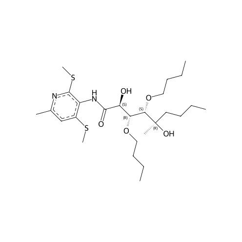 CCCCO[C@H]([C@H](O)C(=O)Nc1c(SC)cc(C)nc1SC)[C@H](OCCCC)[C@](C)(O)CCCC